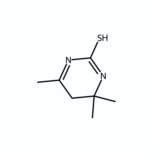 CC1=NC(S)=NC(C)(C)C1